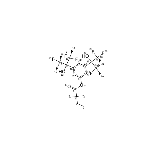 CCC(C)(C)C(=O)Oc1cc(C(O)(C(F)(F)F)C(F)(F)F)cc(C(O)(C(F)(F)F)C(F)(F)F)c1